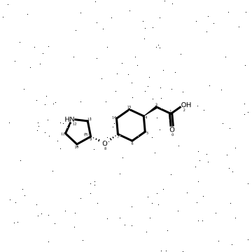 O=C(O)C[C@H]1CC[C@H](O[C@@H]2CCNC2)CC1